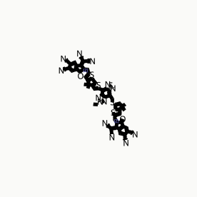 CCn1nc2c(CSC3=CC(C)(C)c4cc(/C=C5\C(=O)c6cc(C#N)c(C#N)cc6C5=C(C#N)C#N)sc43)c3c(c(-c4cc5c(s4)-c4sc(/C=C6\C(=O)c7cc(C#N)c(C#N)cc7C6=C(C#N)C#N)cc4C5(C)C)c2n1)N=S=N3